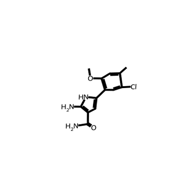 COc1cc(C)c(Cl)cc1-c1cc(C(N)=O)c(N)[nH]1